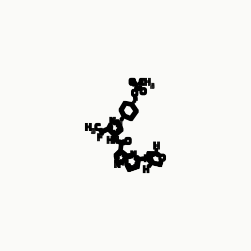 CC(F)c1nn([C@H]2CC[C@H](COS(C)(=O)=O)CC2)cc1NC(=O)c1cnn2ccc(N3C[C@H]4C[C@@H]3CO4)nc12